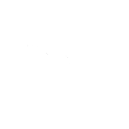 O=C(O)CN1CCC(NC(=O)OCC2c3ccccc3-c3ccccc32)CC1